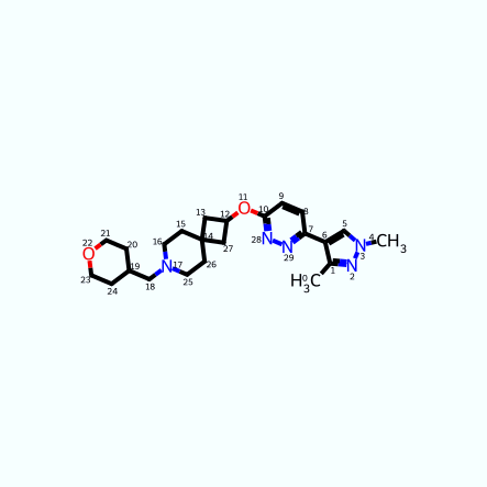 Cc1nn(C)cc1-c1ccc(OC2CC3(CCN(CC4CCOCC4)CC3)C2)nn1